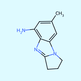 Cc1cc(N)c2nc3n(c2c1)CCC3